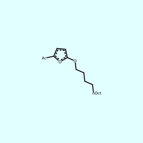 CCCCCCCCCCCCOc1ccc(C(C)=O)o1